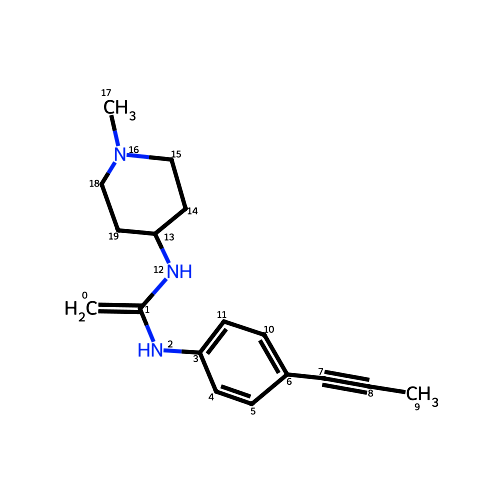 C=C(Nc1ccc(C#CC)cc1)NC1CCN(C)CC1